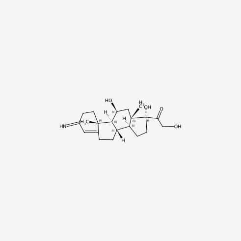 C[C@]12CCC(=N)C=C1CC[C@@H]1[C@@H]2[C@@H](O)C[C@@]2(C)[C@H]1CC[C@]2(O)C(=O)CO